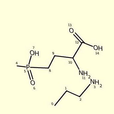 CCCN.CP(=O)(O)CCC(N)C(=O)O